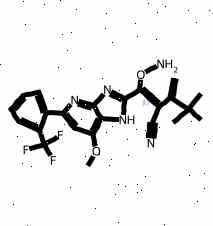 C=C(/C(C#N)=C(\ON)c1nc2nc(-c3ccccc3C(F)(F)F)cc(OC)c2[nH]1)C(C)(C)C